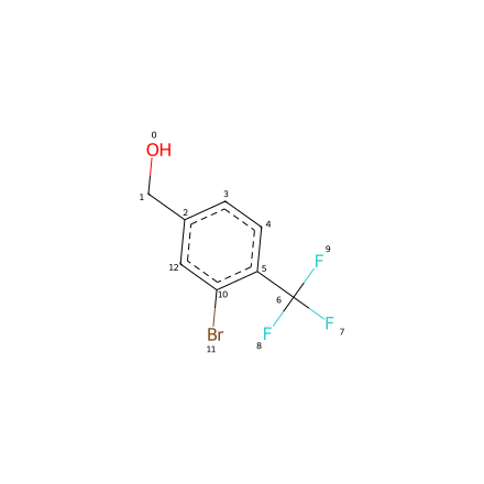 OCc1ccc(C(F)(F)F)c(Br)c1